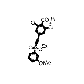 CCOP(=O)(C#Cc1cc(Cl)c(C(=O)O)c(Cl)c1)c1cccc(OC)c1